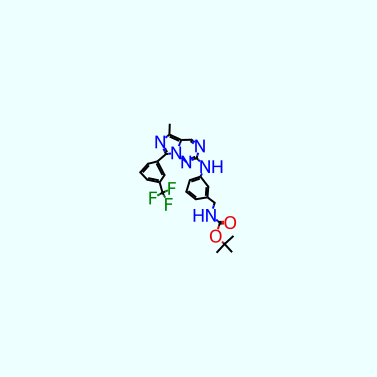 Cc1nc(-c2cccc(C(F)(F)F)c2)n2nc(Nc3cccc(CNC(=O)OC(C)(C)C)c3)ncc12